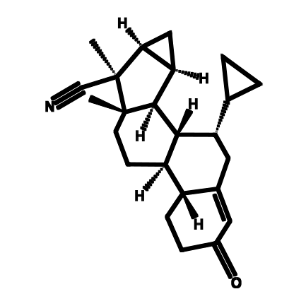 C[C@]1(C#N)[C@H]2C[C@H]2[C@H]2[C@H]3[C@H](CC[C@@]21C)[C@H]1CCC(=O)C=C1C[C@H]3C1CC1